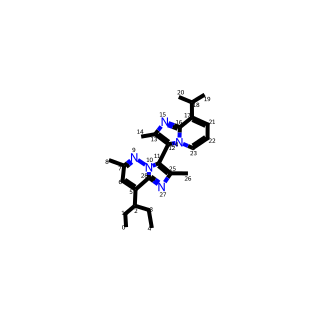 CCC(CC)c1cc(C)nn2c(-c3c(C)nc4c(C(C)C)cccn34)c(C)nc12